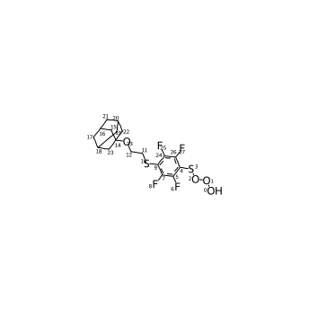 OOOSc1c(F)c(F)c(SCCOC23CC4CC(CC(C4)C2)C3)c(F)c1F